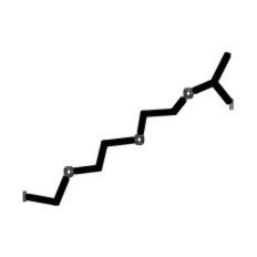 CC(I)OCCOCCOCI